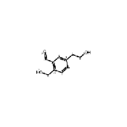 O=Cc1cc(CCO)ccc1CO